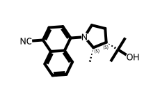 C[C@H]1[C@@H](C(C)(C)O)CCN1c1ccc(C#N)c2ccccc12